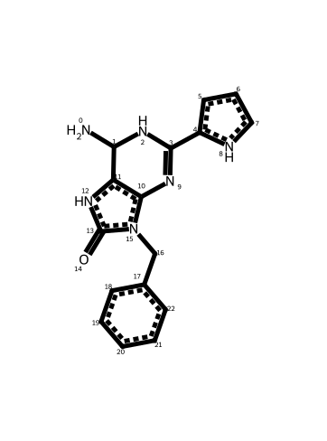 NC1NC(c2ccc[nH]2)=Nc2c1[nH]c(=O)n2Cc1ccccc1